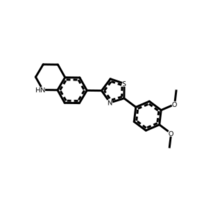 COc1ccc(-c2nc(-c3ccc4c(c3)CCCN4)cs2)cc1OC